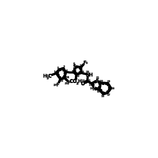 Cc1ccc(-c2sc(F)c(NC(=O)c3nc4ccccc4s3)c2C(=O)O)c(F)c1F